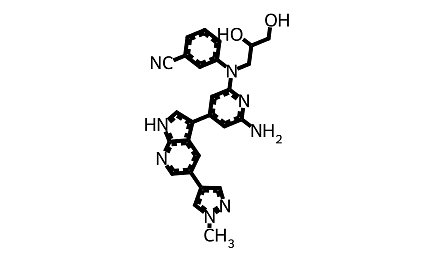 Cn1cc(-c2cnc3[nH]cc(-c4cc(N)nc(N(CC(O)CO)c5cccc(C#N)c5)c4)c3c2)cn1